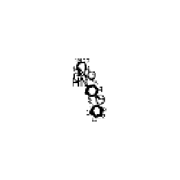 O=C(Nc1ccc(Oc2ccccc2)cc1)[N+]1([O-])CCCC1